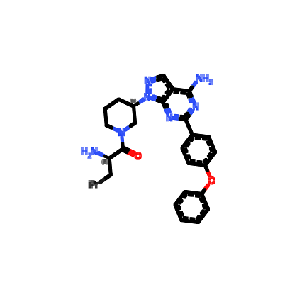 CC(C)C[C@@H](N)C(=O)N1CCC[C@@H](n2ncc3c(N)nc(-c4ccc(Oc5ccccc5)cc4)nc32)C1